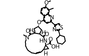 COc1ccc2c(O[C@@H]3C[C@H]4C(=O)N[C@]5(C(=O)O)C[C@H]5/C=C\CCCCN(C)C(=O)[C@@H]4C3)cc(-c3csc(C4CCCCC4)n3)nc2c1C